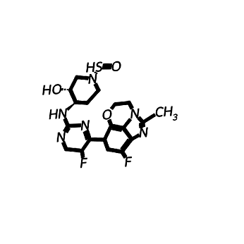 Cc1nc2c3n1CCOC=3C(C1=NC(N[C@@H]3CCN([SH]=O)C[C@H]3O)=NCC1F)CC=2F